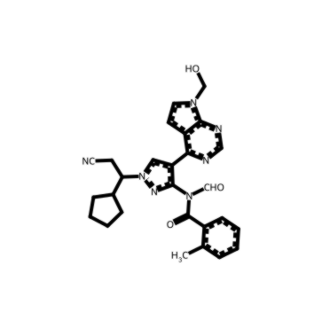 Cc1ccccc1C(=O)N(C=O)c1nn(C(CC#N)C2CCCC2)cc1-c1ncnc2c1ccn2CO